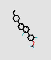 C=CC1CCC(c2ccc3c(F)c(-c4ccc(OC(F)F)c(F)c4)ccc3c2)CC1